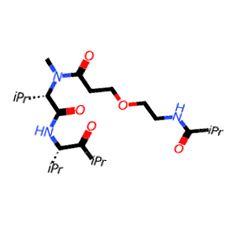 CC(C)C(=O)NCCOCCC(=O)N(C)[C@H](C(=O)N[C@H](C(=O)C(C)C)C(C)C)C(C)C